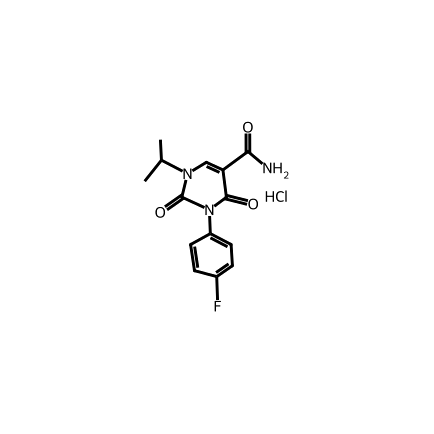 CC(C)n1cc(C(N)=O)c(=O)n(-c2ccc(F)cc2)c1=O.Cl